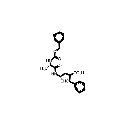 C[C@H](NC(=O)OCc1ccccc1)C(=O)N[C@H]([C]=O)CC(Cc1ccccc1)C(=O)O